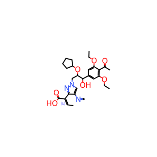 C=Nc1cn(CC(OC2CCCC2)C(O)c2cc(OCC)c(C(C)=O)c(OCC)c2)nc1/C(=C\C)C(=O)O